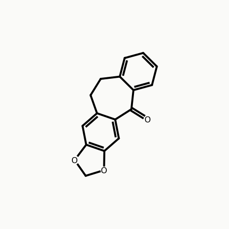 O=C1c2ccccc2CCc2cc3c(cc21)OCO3